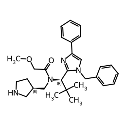 COCC(=O)N(C[C@@H]1CCNC1)[C@@H](c1nc(-c2ccccc2)cn1Cc1ccccc1)C(C)(C)C